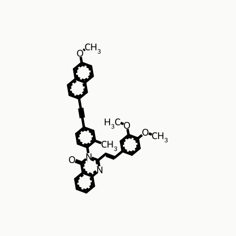 COc1ccc2cc(C#Cc3ccc(-n4c(C=Cc5ccc(OC)c(OC)c5)nc5ccccc5c4=O)c(C)c3)ccc2c1